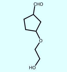 O=CC1CCC(OCCO)C1